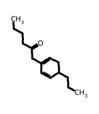 CCCCC(=O)CC1=CCC(CCC)C=C1